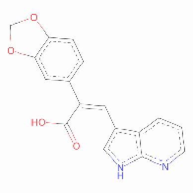 O=C(O)/C(=C\c1c[nH]c2ncccc12)c1ccc2c(c1)OCO2